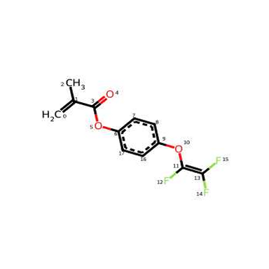 C=C(C)C(=O)Oc1ccc(OC(F)=C(F)F)cc1